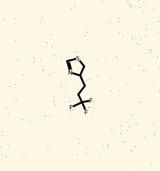 FC(F)(F)CC[C]1CSC=N1